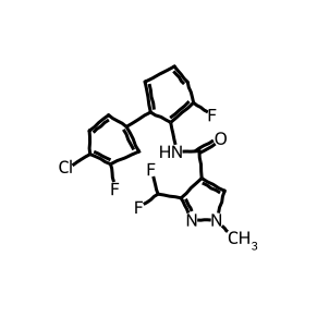 Cn1cc(C(=O)Nc2c(F)cccc2-c2ccc(Cl)c(F)c2)c(C(F)F)n1